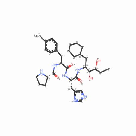 COc1ccc(CC(NC(=O)[C@@H]2CCCN2)C(=O)N[C@@H](Cc2c[nH]cn2)C(=O)N[C@@H](CC2CCCCC2)[C@@H](O)[C@@H](O)CC(C)C)cc1